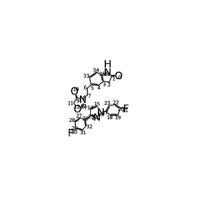 O=C1Cc2cc(CCN3C(=O)CO[C@H]3c3cn(-c4ccc(F)cc4)nc3-c3ccc(F)cc3)ccc2N1